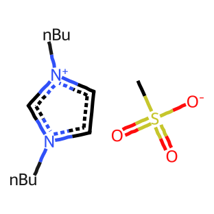 CCCCn1cc[n+](CCCC)c1.CS(=O)(=O)[O-]